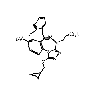 O=C(O)CC[C@@H]1N=C(c2ccccc2Cl)c2cc([N+](=O)[O-])ccc2-n2c(SCC3CC3)nnc21